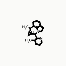 Cc1cccnc1C(C1CC1)n1ccc2cccc(C(C)C)c21